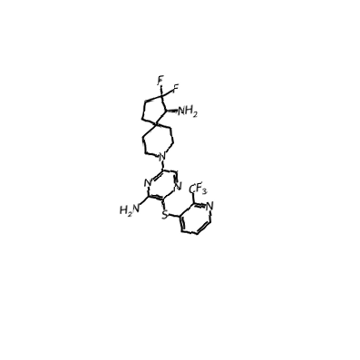 Nc1nc(N2CCC3(CC2)CCC(F)(F)[C@H]3N)cnc1Sc1cccnc1C(F)(F)F